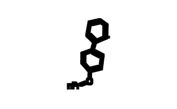 CCCOc1ccc(-c2[c]cccc2)cc1